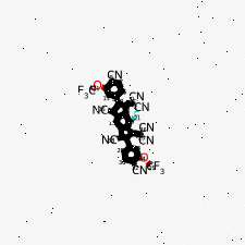 N#CC(C#N)=C1C(c2ccc(C#N)c(OC(F)(F)F)c2)=C(C#N)c2cc3c(c(F)c21)C(=C(C#N)C#N)C(c1ccc(C#N)c(OC(F)(F)F)c1)=C3C#N